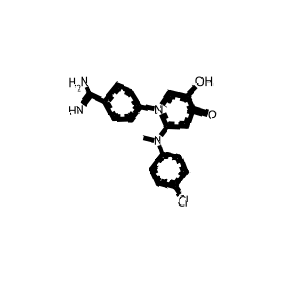 CN(c1ccc(Cl)cc1)c1cc(=O)c(O)cn1-c1ccc(C(=N)N)cc1